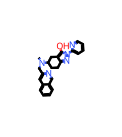 CN(Cc1cc2ccccc2cn1)C1CCc2nn(-c3ccccn3)c(O)c2C1